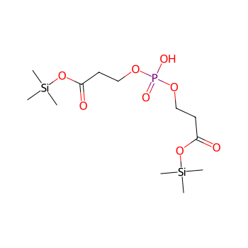 C[Si](C)(C)OC(=O)CCOP(=O)(O)OCCC(=O)O[Si](C)(C)C